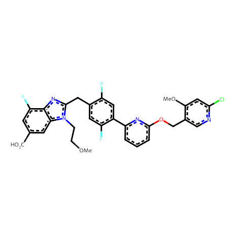 COCCn1c(Cc2cc(F)c(-c3cccc(OCc4cnc(Cl)cc4OC)n3)cc2F)nc2c(F)cc(C(=O)O)cc21